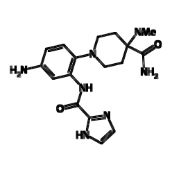 CNC1(C(N)=O)CCN(c2ccc(N)cc2NC(=O)c2ncc[nH]2)CC1